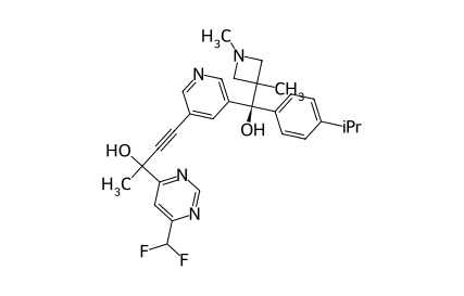 CC(C)c1ccc([C@](O)(c2cncc(C#CC(C)(O)c3cc(C(F)F)ncn3)c2)C2(C)CN(C)C2)cc1